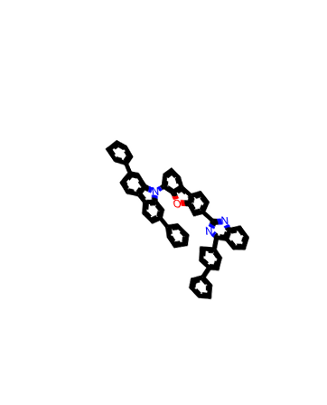 c1ccc(-c2ccc(-c3nc(-c4ccc5c(c4)oc4c(-n6c7cc(-c8ccccc8)ccc7c7ccc(-c8ccccc8)cc76)cccc45)nc4ccccc34)cc2)cc1